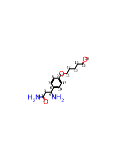 NC(=O)CC(N)c1ccc(OCCCCC=O)cc1